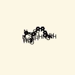 CNC(=O)NC1CNCc2cc(-c3cccc(-c4cccc(COc5cc(OCc6cncc(C#N)c6)c(CN[C@@](C)(CO)C(=O)O)cc5Cl)c4C)c3C)ccc21